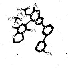 Cc1cccc(-c2cccc(-c3cc4nc(C)c([C@H](OC(C)(C)C)C(=O)O)c(-c5cc(F)c6c(c5C)CCCO6)n4n3)c2)c1